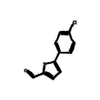 O=Cc1ccc(-c2ccc(Cl)cc2)s1